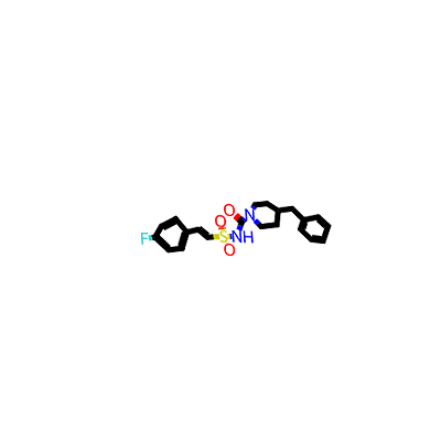 O=C(NS(=O)(=O)/C=C/c1ccc(F)cc1)N1CCC(Cc2ccccc2)CC1